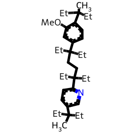 CCC(C)(CC)c1ccc(C(CC)(CC)CCC(CC)(CC)c2ccc(C(C)(CC)CC)c(OC)c2)nc1